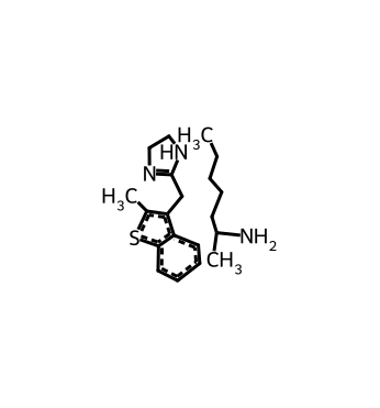 CCCCCC(C)N.Cc1sc2ccccc2c1CC1=NCCN1